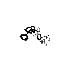 C[C@@]12CC3(C(=O)N4CCC(N)C(C(F)(F)F)C4)CCC1CC[C@](c1ccccc1)(C3)C2